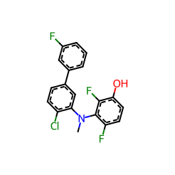 CN(c1cc(-c2cccc(F)c2)ccc1Cl)c1c(F)ccc(O)c1F